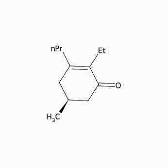 CCCC1=C(CC)C(=O)C[C@@H](C)C1